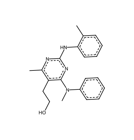 Cc1ccccc1Nc1nc(C)c(CCO)c(N(C)c2ccccc2)n1